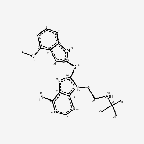 COc1cccc2nc(Sc3nc4c(N)ncnc4n3CC[AsH]C(C)(C)C)sc12